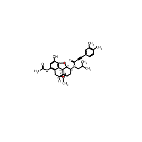 CC(=O)Oc1cc(O)c2c3c1C[C@@H]1[C@@H]4CC[C@H](N(CC(C)C)C(=O)C#Cc5ccc(C)c(C)c5)[C@H](O2)[C@]34CCN1C